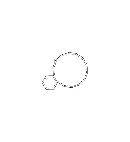 c1cccccc2ccccc2cncccc1